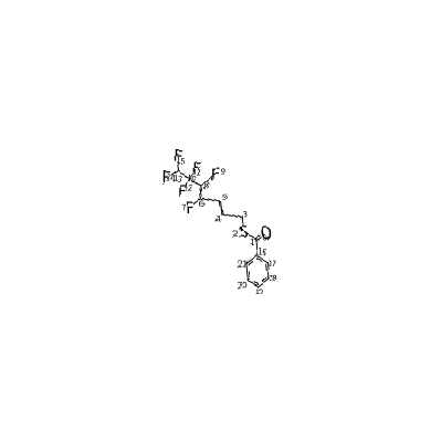 O=C(SCCCC(F)C(F)C(F)(F)C(F)F)c1ccccc1